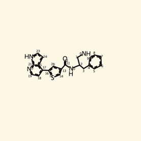 NCC(Cc1ccccc1)NC(=O)c1csc(-c2ccnc3[nH]ccc23)c1